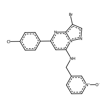 [O-][n+]1cccc(CNc2cc(-c3ccc(Cl)cc3)nc3c(Br)cnn23)c1